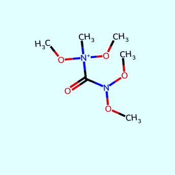 CON(OC)C(=O)[N+](C)(OC)OC